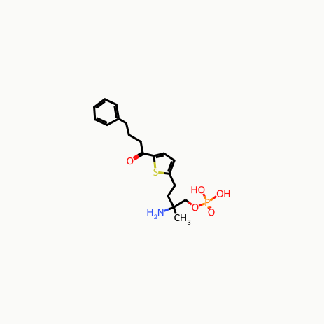 CC(N)(CCc1ccc(C(=O)CCCc2ccccc2)s1)COP(=O)(O)O